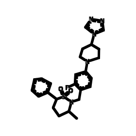 CC1CCC(c2ccccc2)S(=O)(=O)N1Cc1ccc(N2CCC(n3cnnc3)CC2)cc1F